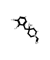 O=CN1CCC(O)(Cc2cccc(F)c2F)CC1